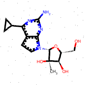 C[C@@]1(O)[C@H](O)[C@@H](CO)O[C@H]1n1ccc2c(C3CC3)nc(N)nc21